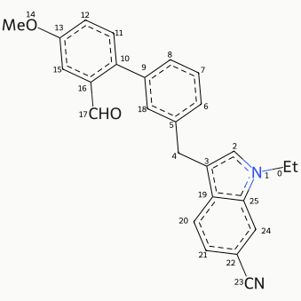 CCn1cc(Cc2cccc(-c3ccc(OC)cc3C=O)c2)c2ccc(C#N)cc21